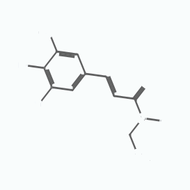 CCCCN(CC(=O)O)C(=O)/C=C/c1cc(C(C)(C)C)c(O)c(C(C)(C)C)c1